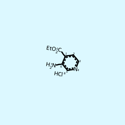 CCOC(=O)c1ccncc1N.Cl